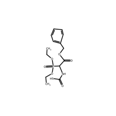 CCOP(=O)(OCC)C(NC(=O)S)C(=O)OCc1ccccc1